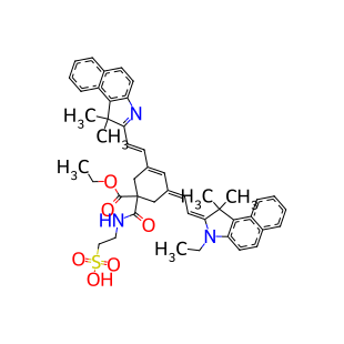 CCOC(=O)C1(C(=O)NCCS(=O)(=O)O)CC(/C=C/C2=Nc3ccc4ccccc4c3C2(C)C)=CC(=C/C=C2/N(CC)c3ccc4ccccc4c3C2(C)C)/C1